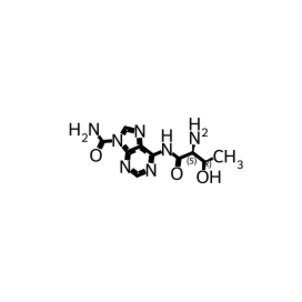 C[C@@H](O)[C@H](N)C(=O)Nc1ncnc2c1ncn2C(N)=O